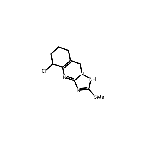 CSC1=NC2=NC3=C(CCCC3Cl)CN2N1